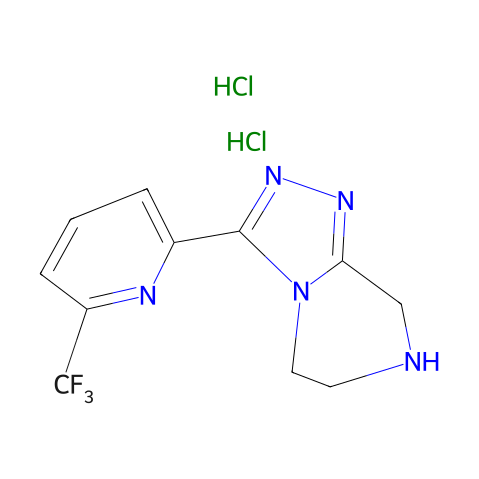 Cl.Cl.FC(F)(F)c1cccc(-c2nnc3n2CCNC3)n1